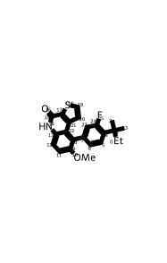 CCC(C)(C)c1ccc(-c2c(OC)ccc3[nH]c(=O)c4sccc4c23)cc1F